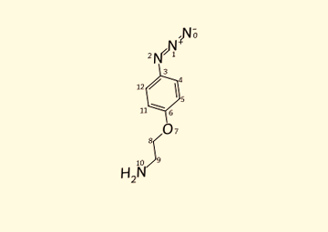 [N-]=[N+]=Nc1ccc(OCCN)cc1